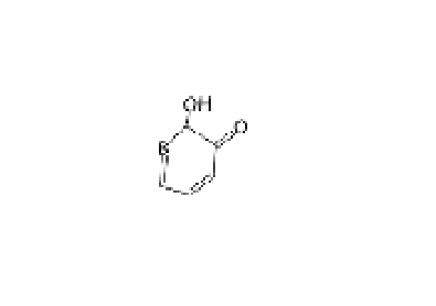 O=C1C=CC=BC1O